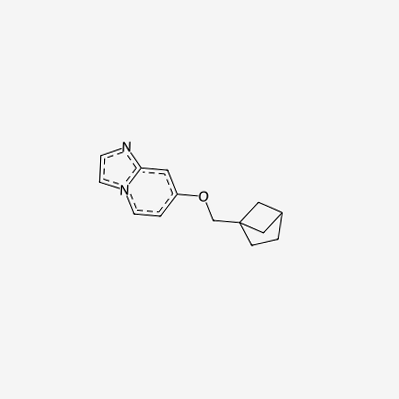 c1cn2ccc(OCC34CCC(C3)C4)cc2n1